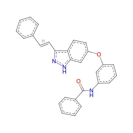 O=C(Nc1cccc(Oc2ccc3c(/C=C/c4ccccc4)n[nH]c3c2)c1)c1ccccc1